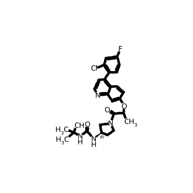 CC(Oc1ccc2c(-c3ccc(F)cc3Cl)ccnc2c1)C(=O)N1CC[C@@H](NC(=O)NC(C)(C)C)C1